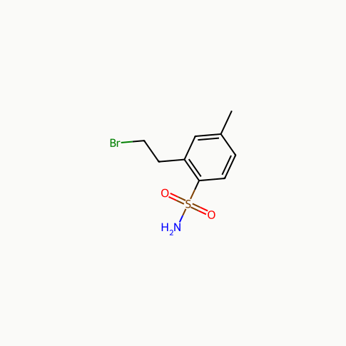 Cc1ccc(S(N)(=O)=O)c(CCBr)c1